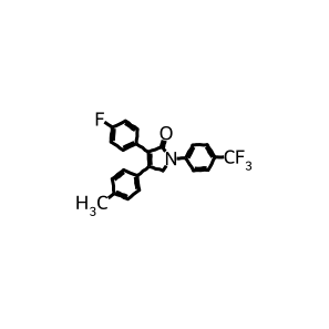 Cc1ccc(C2=C(c3ccc(F)cc3)C(=O)N(c3ccc(C(F)(F)F)cc3)C2)cc1